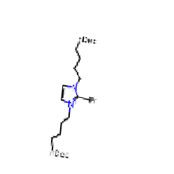 CCCCCCCCCCCCCCn1cc[n+](CCCCCCCCCCCCCC)c1C(C)C